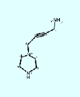 NCC#CCN1CCNCC1